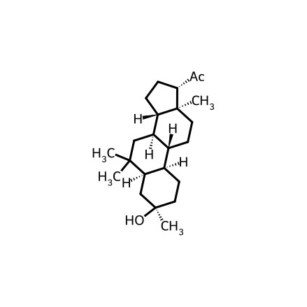 CC(=O)[C@H]1CC[C@H]2[C@@H]3CC(C)(C)[C@@H]4C[C@](C)(O)CC[C@@H]4[C@H]3CC[C@]12C